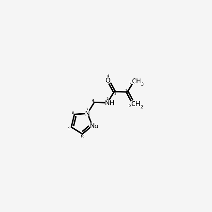 C=C(C)C(=O)NCn1cccn1